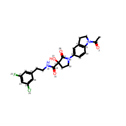 CC(=O)N1CCc2cc(N3CCC(O)(C(=O)NCCc4cc(F)cc(Cl)c4)C3=O)ccc21